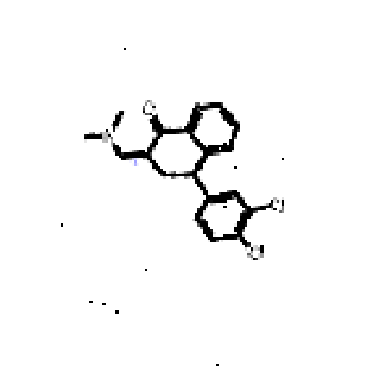 CN(C)/C=C1/CC(c2ccc(Cl)c(Cl)c2)c2ccccc2C1=O